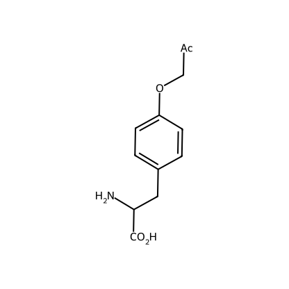 CC(=O)COc1ccc(CC(N)C(=O)O)cc1